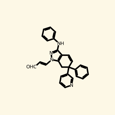 O=CC=Cn1nc(Nc2ccccc2)c2c1CC(c1ccccc1)(c1cccnc1)C=C2